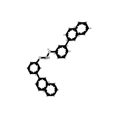 B(Oc1cccc(-c2ccc3ccccc3c2)c1)Oc1cccc(-c2ccc3ccccc3c2)c1